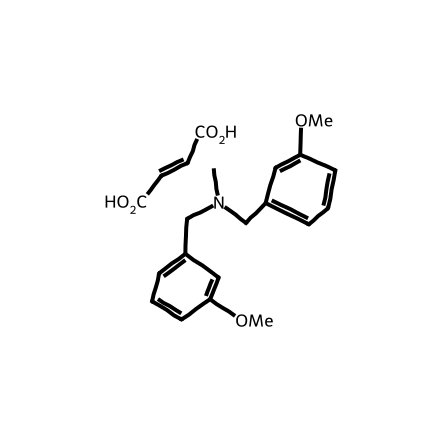 COc1cccc(CN(C)Cc2cccc(OC)c2)c1.O=C(O)C=CC(=O)O